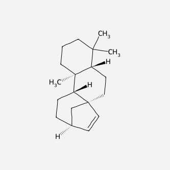 CC1(C)CCC[C@@]2(C)[C@H]1CC[C@@]13C=C[C@@H](CC[C@@H]12)C3